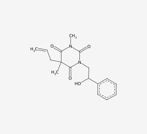 C=CCC1(C)C(=O)N(C)C(=O)N(CC(O)c2ccccc2)C1=O